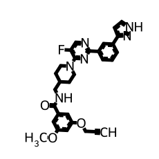 C#CCOc1cc(OC)cc(C(=O)NCC2CCN(c3nc(-c4cccc(-c5cc[nH]n5)c4)ncc3F)CC2)c1